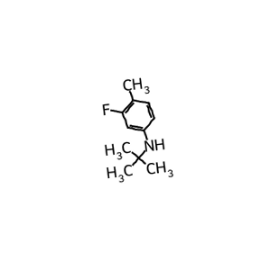 Cc1ccc(NC(C)(C)C)cc1F